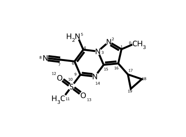 Cc1nn2c(N)c(C#N)c(S(C)(=O)=O)nc2c1C1CC1